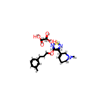 Cc1cccc(CCCOc2nsnc2C2=CCCN(C)C2)c1.O=C(O)C(=O)O